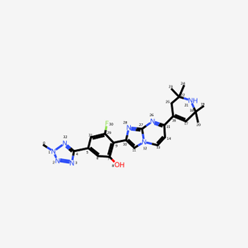 Cn1nnc(-c2cc(O)c(-c3cn4ccc(C5=CC(C)(C)NC(C)(C)C5)nc4n3)c(F)c2)n1